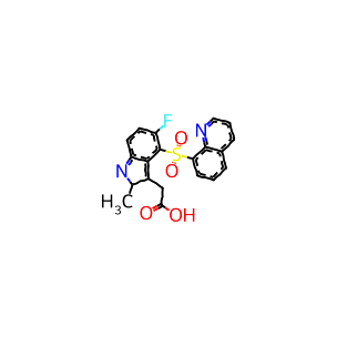 CC1N=c2ccc(F)c(S(=O)(=O)c3cccc4cccnc34)c2=C1CC(=O)O